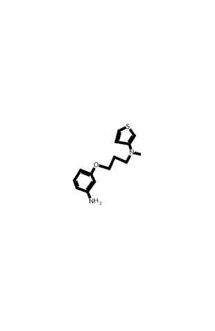 CN(CCCOc1cccc(N)c1)c1ccsc1